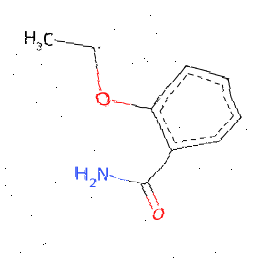 C[CH]Oc1ccccc1C(N)=O